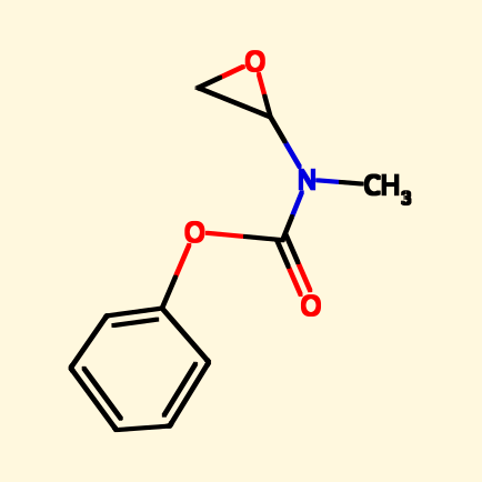 CN(C(=O)Oc1ccccc1)C1CO1